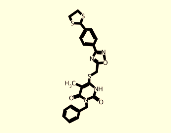 Cc1c(SCc2nc(-c3ccc(C4SCCS4)cc3)no2)[nH]c(=O)n(Cc2ccccc2)c1=O